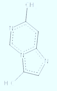 Cc1cc2ncc(C)n2cn1